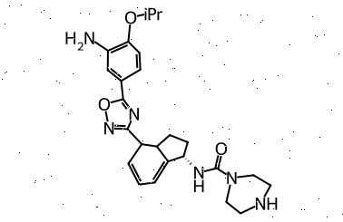 CC(C)Oc1ccc(-c2nc(C3C=CC=C4C3CC[C@@H]4NC(=O)N3CCNCC3)no2)cc1N